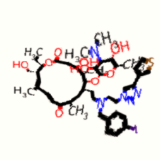 CC[C@H]1OC(=O)C[C@@H](O)[C@H](C)[C@@H](O[C@@H]2O[C@H](C)[C@@H](O)C(N(C)C)C2O)[C@@H](CCN(CCn2cc(-c3ccsc3)nn2)Cc2ccc(I)cc2)C[C@@H](C)C(=O)/C=C/C(C)=C/[C@@H]1CO